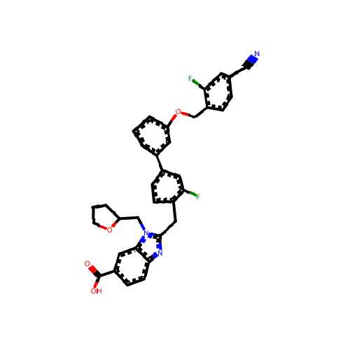 N#Cc1ccc(COc2cccc(-c3ccc(Cc4nc5ccc(C(=O)O)cc5n4CC4CCCO4)c(F)c3)c2)c(F)c1